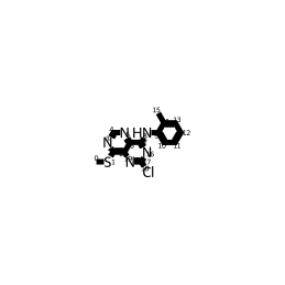 CSc1ncnc2c(Nc3ccccc3C)nc(Cl)nc12